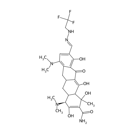 CN(C)c1cc(/C=N/NCC(F)(F)F)c(O)c2c1CC1CC3C(C(O)=C1C2=O)C(C)(O)C(C(N)=O)=C(O)[C@H]3N(C)C